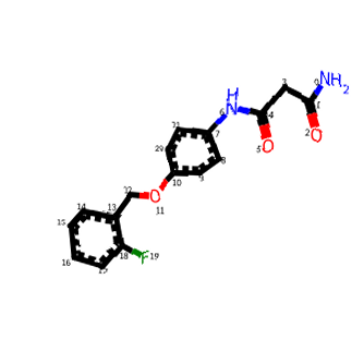 NC(=O)CC(=O)Nc1ccc(OCc2ccccc2F)cc1